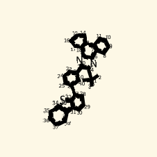 CC(C)(C)c1nc2c3ccccc3c3ccccc3c2nc1-c1cccc(-c2cccc3c2sc2ccccc23)c1